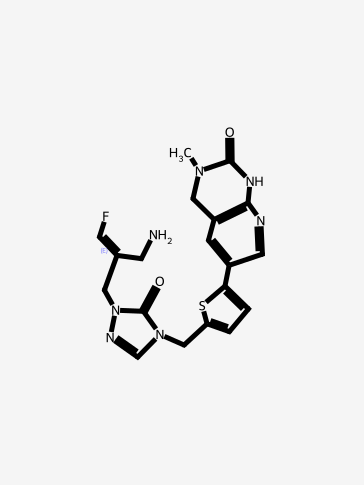 CN1Cc2cc(-c3ccc(Cn4cnn(C/C(=C/F)CN)c4=O)s3)cnc2NC1=O